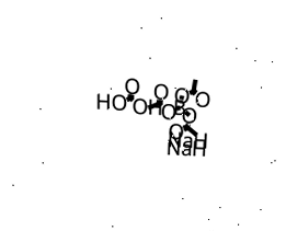 CC(=O)OB(OC(C)=O)OC(C)=O.O=C(O)O.[NaH].[NaH]